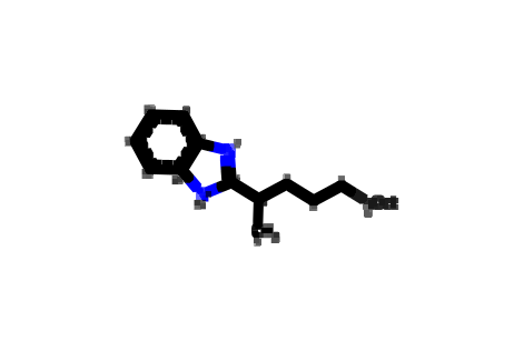 CCCCCCCCCCCC(C)C1=Nc2ccccc2[N]1